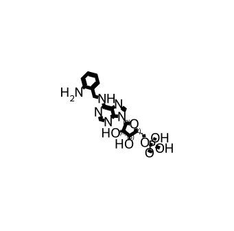 Nc1ccccc1CNc1ncnc2c1ncn2[C@@H]1O[C@H](COP(=O)(O)O)[C@@H](O)[C@H]1O